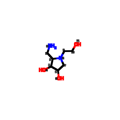 NCC1C(O)C(O)CN1CCO